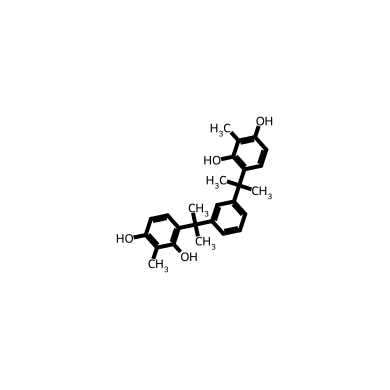 Cc1c(O)ccc(C(C)(C)c2cccc(C(C)(C)c3ccc(O)c(C)c3O)c2)c1O